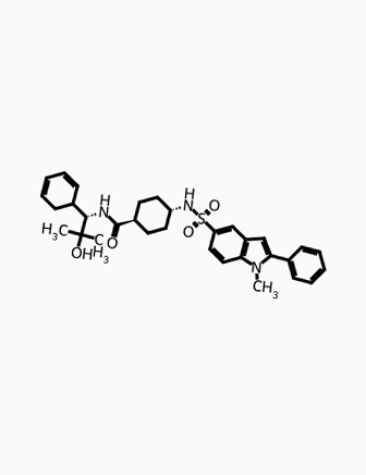 Cn1c(-c2ccccc2)cc2cc(S(=O)(=O)N[C@H]3CC[C@H](C(=O)N[C@@H](C4C=CC=CC4)C(C)(C)O)CC3)ccc21